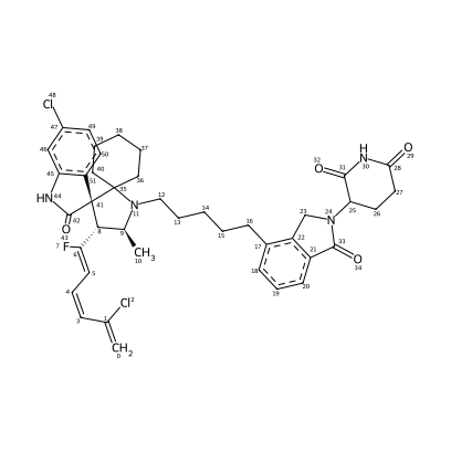 C=C(Cl)/C=C\C=C(/F)[C@H]1[C@H](C)N(CCCCCc2cccc3c2CN(C2CCC(=O)NC2=O)C3=O)C2(CCCCC2)[C@@]12C(=O)Nc1cc(Cl)ccc12